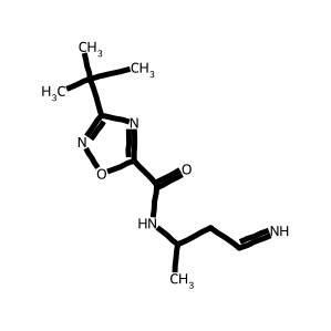 CC(CC=N)NC(=O)c1nc(C(C)(C)C)no1